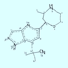 CC1NCCOC1c1cc(C(C)(C)C#N)c2[nH]ncc2n1